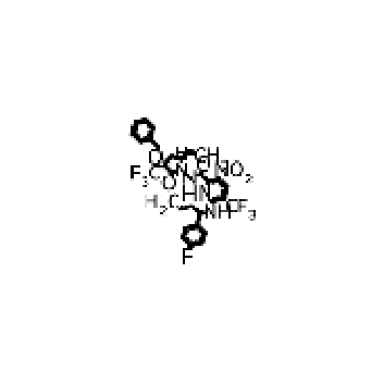 C=CCC[C@@](OCc1ccccc1)(C(=O)NNC(=O)c1nc(NC(CC=C)c2ccc(F)cc2)c(C(F)(F)F)cc1[N+](=O)[O-])C(F)(F)F